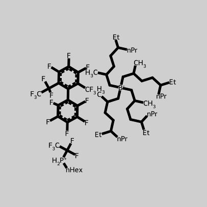 CCCC(CC)CCC(C)C[B-](CC(C)CCC(CC)CCC)(CC(C)CCC(CC)CCC)CC(C)CCC(CC)CCC.CCCCCC[PH2+]C(F)(F)C(F)(F)F.Fc1c(F)c(F)c(-c2c(C(F)(F)F)c(F)c(F)c(F)c2C(F)(F)C(F)(F)F)c(F)c1F